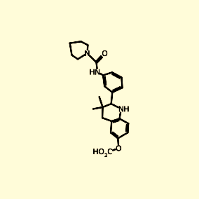 CC1(C)Cc2cc(OC(=O)O)ccc2NC1c1cccc(NC(=O)N2CCCCC2)c1